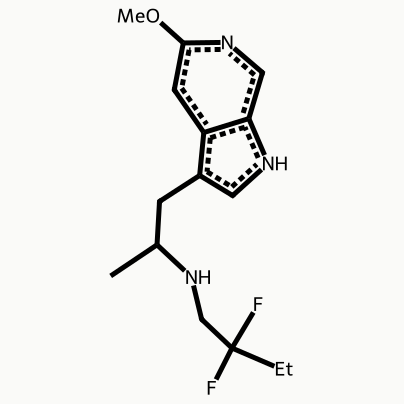 CCC(F)(F)CNC(C)Cc1c[nH]c2cnc(OC)cc12